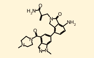 C=C(CN1Cc2c(-c3cc(C(=O)N4CCN(C)CC4)c4cnn(C)c4c3)ccc(N)c2C1=O)C(N)=O